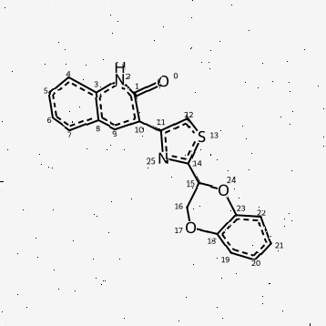 O=c1[nH]c2ccccc2cc1-c1csc(C2COc3ccccc3O2)n1